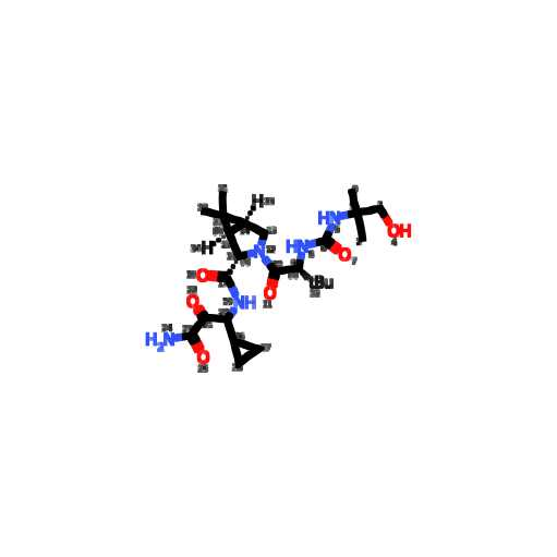 CC(C)(CO)NC(=O)N[C@H](C(=O)N1C[C@H]2[C@@H]([C@H]1C(=O)NC(C(=O)C(N)=O)C1CC1)C2(C)C)C(C)(C)C